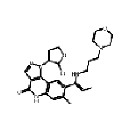 CC=C(NCCCN1CCOCC1)c1cc2c(cc1C)[nH]c(=O)c1cnn(C3CCOC3CC)c12